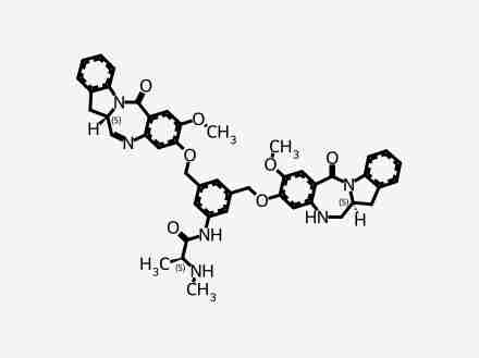 CN[C@@H](C)C(=O)Nc1cc(COc2cc3c(cc2OC)C(=O)N2c4ccccc4C[C@H]2C=N3)cc(COc2cc3c(cc2OC)C(=O)N2c4ccccc4C[C@H]2CN3)c1